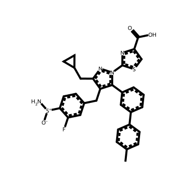 Cc1ccc(-c2cccc(-c3c(Cc4ccc([S+](N)[O-])c(F)c4)c(CC4CC4)nn3-c3nc(C(=O)O)cs3)c2)cc1